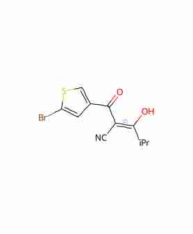 CC(C)/C(O)=C(\C#N)C(=O)c1csc(Br)c1